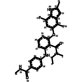 CCN(C)C(=O)c1c(Nc2ccc(C(=O)NC)cc2)ncnc1Oc1cc(F)c2[nH]c(C)cc2c1F